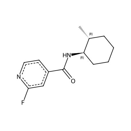 C[C@@H]1CCCC[C@H]1NC(=O)c1ccnc(F)c1